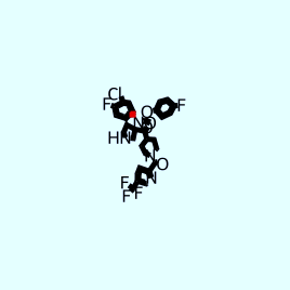 CCN(C(=O)Oc1ccc(F)cc1)[C@]1(C(=O)C2CCN(C(=O)c3ccc(C(F)(F)F)cn3)CC2)CNC[C@H]1c1ccc(Cl)c(F)c1